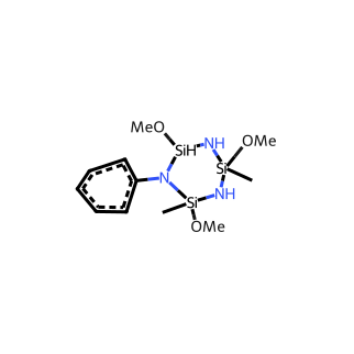 CO[SiH]1N[Si](C)(OC)N[Si](C)(OC)N1c1ccccc1